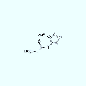 CCOC(=O)CC(=O)Nc1cscc1C=O